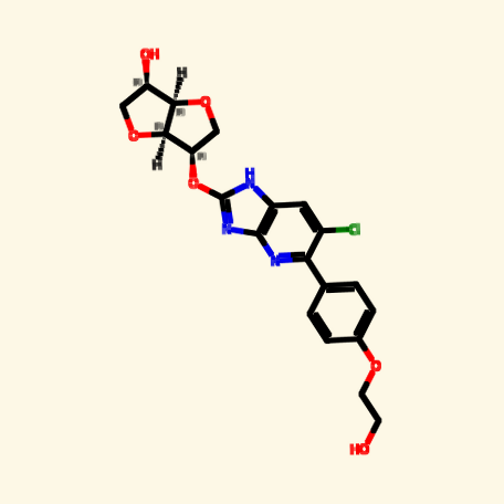 OCCOc1ccc(-c2nc3nc(O[C@@H]4CO[C@H]5[C@@H]4OC[C@H]5O)[nH]c3cc2Cl)cc1